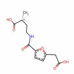 C[C@H](CCNC(=O)c1ccc(CC(=O)O)o1)C(=O)O